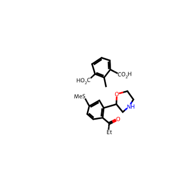 CCC(=O)c1ccc(SC)cc1C1CNCCO1.Cc1c(C(=O)O)cccc1C(=O)O